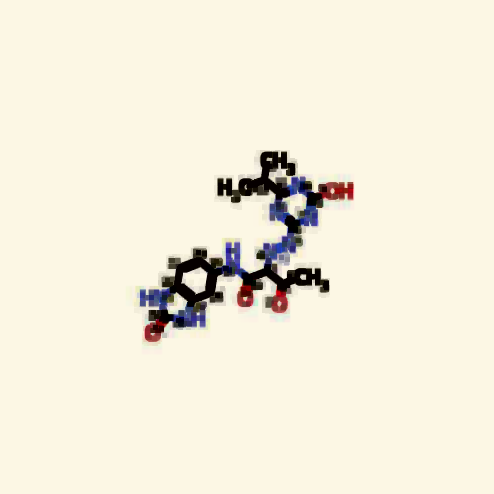 CC(=O)C(/N=N/c1nc(O)nc(C(C)C)n1)C(=O)Nc1ccc2[nH]c(=O)[nH]c2c1